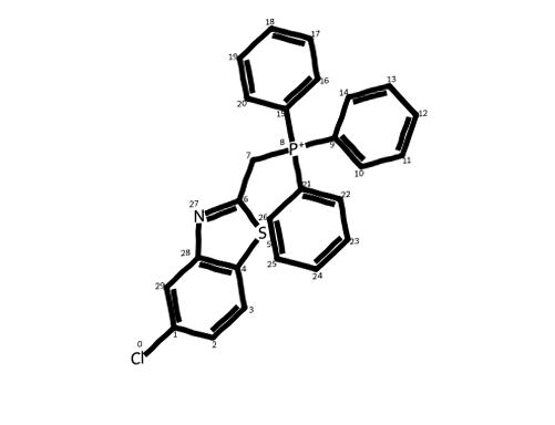 Clc1ccc2sc(C[P+](c3ccccc3)(c3ccccc3)c3ccccc3)nc2c1